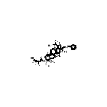 CC(C)C1=C2[C@H]3CC[C@@H]4[C@@]5(C)CC[C@H](OC(=O)CC(C)(C)C(=O)O)C(C)(C)[C@@H]5CC[C@@]4(C)[C@]3(C)CC[C@@]2([C@H](O)CNCc2ccccc2)CC1